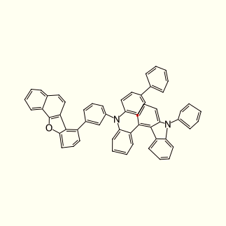 c1ccc(-c2ccc(N(c3cccc(-c4cccc5oc6c7ccccc7ccc6c45)c3)c3ccccc3-c3cccc4c3c3ccccc3n4-c3ccccc3)cc2)cc1